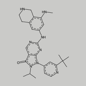 CNc1cc(Nc2ncc3c(=O)n(C(C)C)n(-c4ccnc(C(C)(C)C)c4)c3n2)cc2c1CNCC2